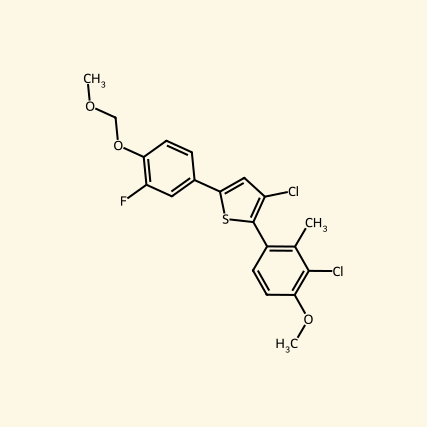 COCOc1ccc(-c2cc(Cl)c(-c3ccc(OC)c(Cl)c3C)s2)cc1F